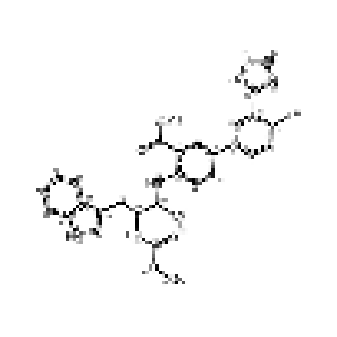 COC(=O)c1cc(-c2ccc(F)c(-c3nn[nH]n3)c2)ccc1N[C@@H](C#N)[C@H](Cc1c[nH]c2ccccc12)NC(=O)OC(C)(C)C